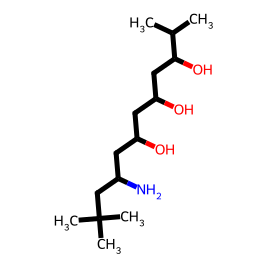 CC(C)C(O)CC(O)CC(O)CC(N)CC(C)(C)C